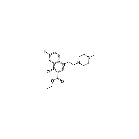 CCOC(=O)c1cn(CCN2CCN(C)CC2)c2ccc(I)cc2c1=O